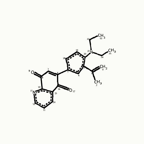 C=C(C)c1cc(C2=CC(=O)c3ncccc3C2=O)ccc1N(CC)CC